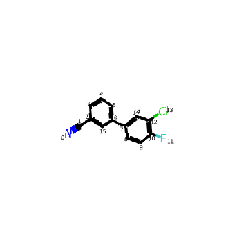 N#Cc1cccc(-c2ccc(F)c(Cl)c2)c1